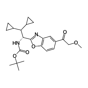 COCC(=O)c1ccc2oc([C@H](NC(=O)OC(C)(C)C)C(C3CC3)C3CC3)nc2c1